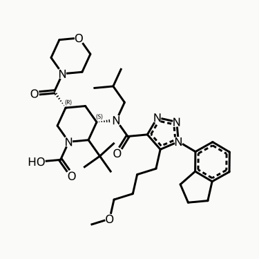 COCCCCc1c(C(=O)N(CC(C)C)[C@H]2C[C@@H](C(=O)N3CCOCC3)CN(C(=O)O)C2C(C)(C)C)nnn1-c1cccc2c1CCC2